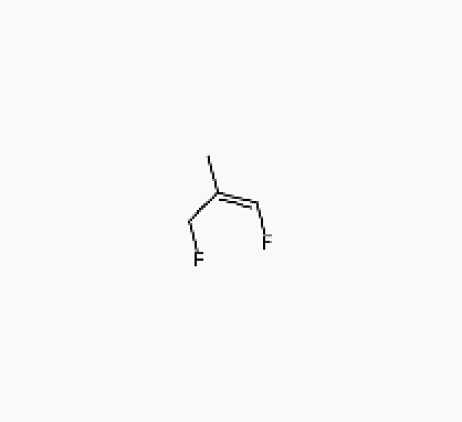 CC(=CF)CF